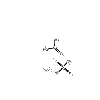 O=S(=O)(O)O.O=[Si](O)O.[MgH2]